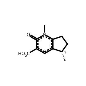 C[C@H]1CCc2c1cc(C(=O)O)c(=O)n2C